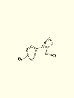 O=Cc1cccn1-c1ccc(Br)cc1